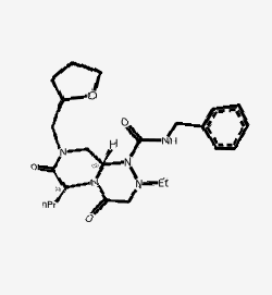 CCC[C@H]1C(=O)N(CC2CCCO2)C[C@H]2N1C(=O)CN(CC)N2C(=O)NCc1ccccc1